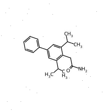 CC(C)c1cc(-c2ccccc2)cc(C(C)C)c1CC(N)=O